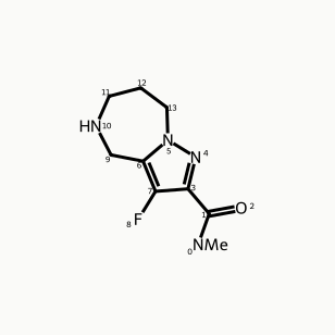 CNC(=O)c1nn2c(c1F)CNCCC2